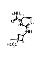 CC1(C(=O)O)CC(Nc2nccc(C(N)=O)n2)C1